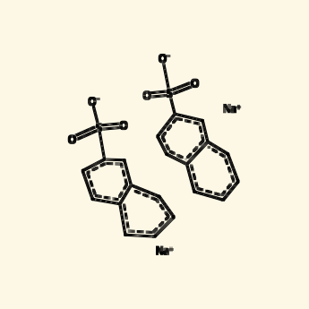 O=S(=O)([O-])c1ccc2ccccc2c1.O=S(=O)([O-])c1ccc2ccccc2c1.[Na+].[Na+]